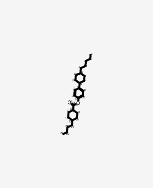 CCCCCC1CCC(c2ccc(OC(=O)C3CCC(CCCC)CC3)cc2)CC1